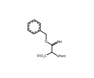 CCCCCC(C(=N)OCc1ccccc1)C(=O)OCC